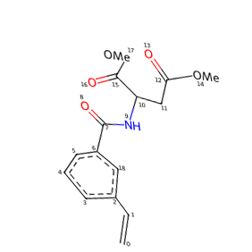 C=Cc1cccc(C(=O)NC(CC(=O)OC)C(=O)OC)c1